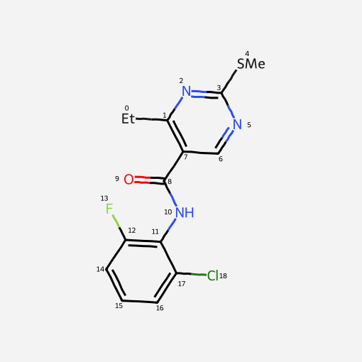 CCc1nc(SC)ncc1C(=O)Nc1c(F)cccc1Cl